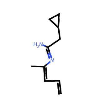 C=C/C=C(C)\N=C(/N)CC1CC1